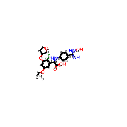 CCOc1cc(OC2CCOC2)c(F)c(C(Nc2ccc(C(=N)NO)cc2)C(=O)O)c1